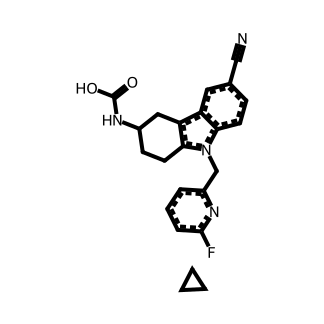 C1CC1.N#Cc1ccc2c(c1)c1c(n2Cc2cccc(F)n2)CCC(NC(=O)O)C1